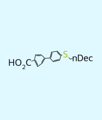 CCCCCCCCCCCSc1ccc(-c2ccc(C(=O)O)cc2)cc1